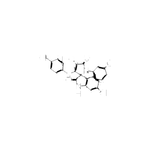 O=C1C(O)=C(Sc2ccc(Cl)cc2)[C@@]2(C(=O)Nc3cc(Cl)ccc32)N1c1cccc(Cl)c1